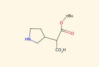 CCCCOC(=O)C(C(=O)O)C1CCNC1